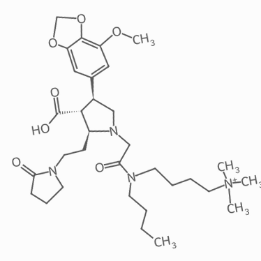 CCCCN(CCCC[N+](C)(C)C)C(=O)CN1C[C@H](c2cc(OC)c3c(c2)OCO3)[C@@H](C(=O)O)[C@@H]1CCN1CCCC1=O